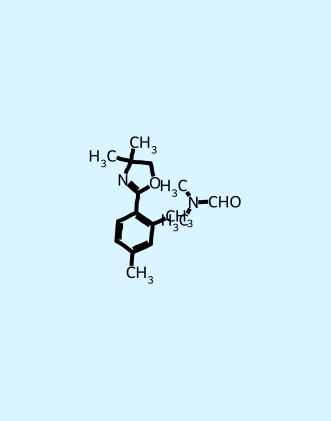 CN(C)C=O.Cc1ccc(C2=NC(C)(C)CO2)c(C)c1